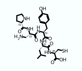 CC(C)C[C@H](NC(=O)[C@H](Cc1ccc(O)cc1)NC(=O)[C@H](CN)NC(=O)[C@@H]1CCCN1)C(=O)N[C@@H](CS)C(=O)O